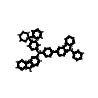 c1ccc(-n2c3ccccc3c3cc(-c4ccc(N(c5ccc(C6(c7ccccc7)CCCCC6)cc5)c5ccc6sc7ccccc7c6c5)cc4)ccc32)cc1